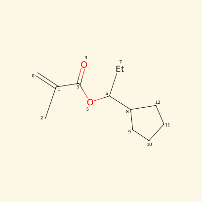 C=C(C)C(=O)OC(CC)C1CCCC1